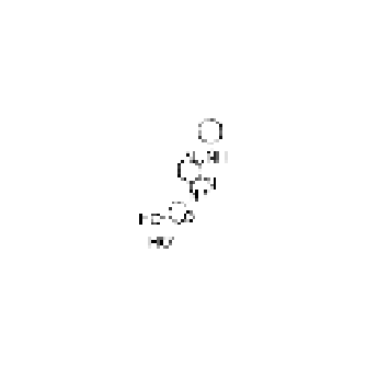 OCC1O[C@@H](n2cnc3c(NC4CCCCC4)nccc32)C[C@@H]1O